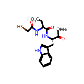 COC(=O)[C@H](Cc1c[nH]c2ccccc12)NC(=O)C(CC(=O)O)NC(=O)CS